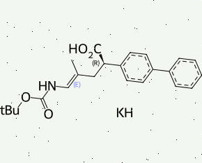 C/C(=C\NC(=O)OC(C)(C)C)C[C@@H](C(=O)O)c1ccc(-c2ccccc2)cc1.[KH]